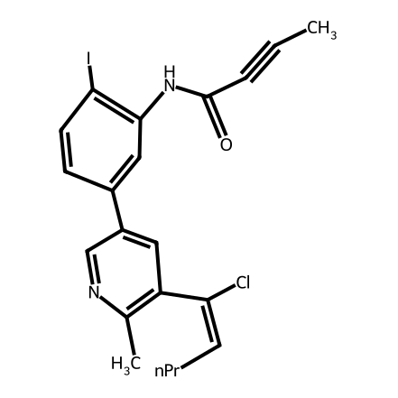 CC#CC(=O)Nc1cc(-c2cnc(C)c(/C(Cl)=C\CCC)c2)ccc1I